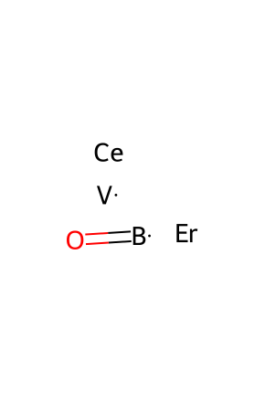 [B]=O.[Ce].[Er].[V]